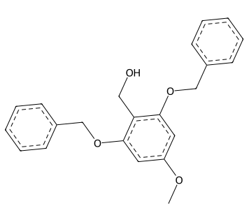 COc1cc(OCc2ccccc2)c(CO)c(OCc2ccccc2)c1